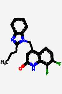 CCCc1nc2ccccc2n1Cc1cc(=O)[nH]c2c(F)c(F)ccc12